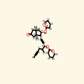 CC#CCC(C)[C@@H](C#C[C@H]1[C@H]2CC(=O)C[C@H]2C[C@H]1OC1CCCCO1)OC1CCCCO1